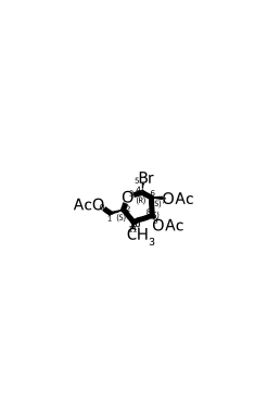 CC(=O)OC[C@H]1O[C@H](Br)[C@@H](OC(C)=O)[C@@H](OC(C)=O)[C@@H]1C